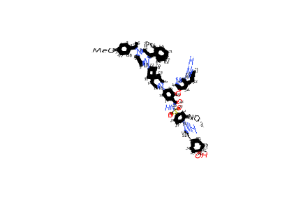 COc1ccc(C(C)N2CCN(C3CC4(CCN(c5ccc(C(=O)NS(=O)(=O)c6ccc(NC[C@H]7CC[C@](C)(O)CC7)c([N+](=O)[O-])c6)c(Oc6cnc7[nH]ccc7c6)c5)CC4)C3)C(c3ccccc3C(C)C)C2)cc1